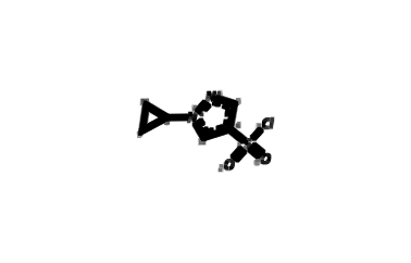 O=S(=O)(Cl)c1cnn(C2CC2)c1